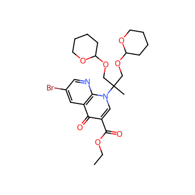 CCOC(=O)c1cn(C(C)(COC2CCCCO2)COC2CCCCO2)c2ncc(Br)cc2c1=O